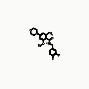 CCOc1nc(N2CCOCC2)cc(C)c1C(=O)NCc1ccc(F)c(F)c1